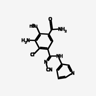 CCCCc1c(C(N)=O)cc(C(=NC#N)Nc2cccnc2)c(Cl)c1N